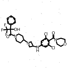 O=C(c1c(Cl)cc(NC2CN(C3CCN(C(=O)C(O)(c4ccccc4)C(F)(F)F)CC3)C2)cc1Cl)N1CCOCC1